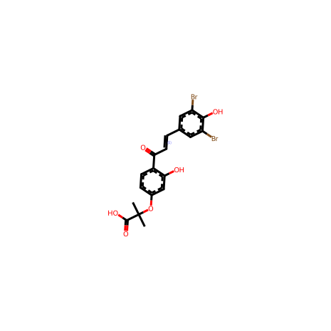 CC(C)(Oc1ccc(C(=O)/C=C/c2cc(Br)c(O)c(Br)c2)c(O)c1)C(=O)O